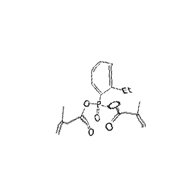 C=C(C)C(=O)OP(=O)(OC(=O)C(=C)C)c1ccccc1CC